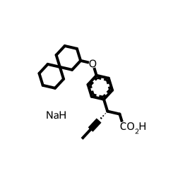 CC#C[C@@H](CC(=O)O)c1ccc(OC2CCCC3(CCCCC3)C2)cc1.[NaH]